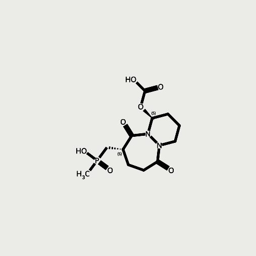 CP(=O)(O)C[C@H]1CCC(=O)N2CCC[C@H](OC(=O)O)N2C1=O